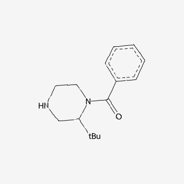 CC(C)(C)C1CNCCN1C(=O)c1ccccc1